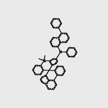 C[Si]1(C)c2ccccc2C2(c3ccccc3-c3cccc4cccc2c34)c2ccc(N(c3ccccc3)c3cccc4c(-c5ccccc5)cccc34)cc21